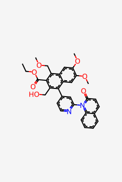 CCOC(=O)c1c(CO)c(-c2ccnc(-n3c(=O)ccc4ccccc43)c2)c2cc(OC)c(OC)cc2c1COC